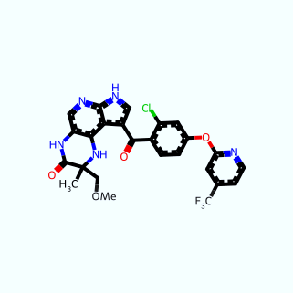 COCC1(C)Nc2c(cnc3[nH]cc(C(=O)c4ccc(Oc5cc(C(F)(F)F)ccn5)cc4Cl)c23)NC1=O